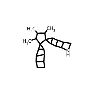 CC1C(C)C2(C3C4C5CCC5C4C32)C2(C1C)C1C3C4CNC4C3C12